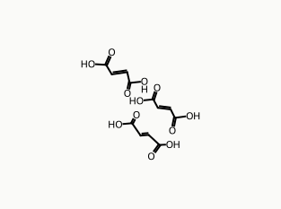 O=C(O)C=CC(=O)O.O=C(O)C=CC(=O)O.O=C(O)C=CC(=O)O